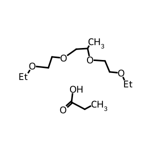 CCC(=O)O.CCOCCOCC(C)OCCOCC